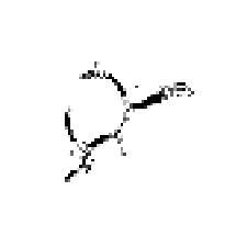 CCCC[SiH](CCCC)O[SiH](C)C